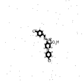 Clc1ccc(C=NN=c2ccn(-c3ccc(Cl)cc3)cc2)cc1.O=S(=O)(O)F